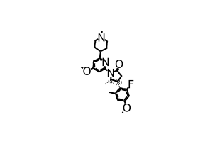 COc1cc(C2CCN(C)CC2)nc(N2C(=O)C[C@H](c3c(C)cc(OC)cc3F)[C@@H]2C)c1